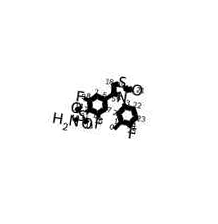 Cc1cc(-n2c(-c3cc(F)c(S(N)(=O)=O)c(F)c3)csc2=O)ccc1F